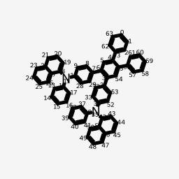 c1ccc(-c2cc(-c3ccc(N(c4ccccc4)c4cccc5ccccc45)cc3)c(-c3ccc(N(c4ccccc4)c4cccc5ccccc45)cc3)cc2-c2ccccc2)cc1